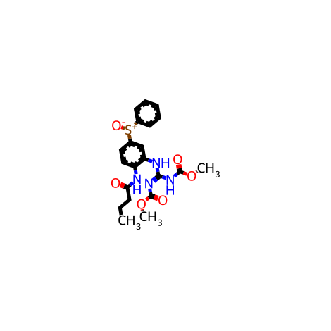 CCCC(=O)Nc1ccc([S+]([O-])c2ccccc2)cc1NC(=NC(=O)OC)NC(=O)OC